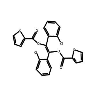 O=C(O/C(=C(/OC(=O)c1cccs1)c1ccccc1Cl)c1ccccc1Cl)c1cccs1